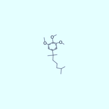 COc1cc(C(C)(C)CCCC(C)C)cc(OC)c1OC